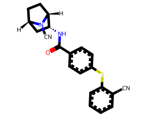 N#Cc1ccccc1Sc1ccc(C(=O)N[C@@H]2C[C@@H]3CC[C@H]2N3C#N)cc1